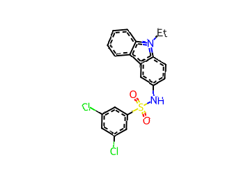 CCn1c2ccccc2c2cc(NS(=O)(=O)c3cc(Cl)cc(Cl)c3)ccc21